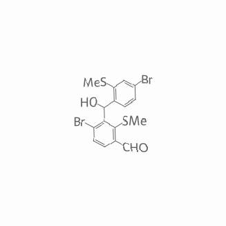 CSc1cc(Br)ccc1C(O)c1c(Br)ccc(C=O)c1SC